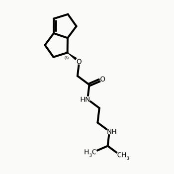 CC(C)NCCNC(=O)CO[C@H]1CCC2=CCCC21